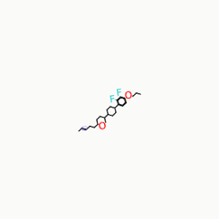 C/C=C/CCC1CCC(C2CCC(c3ccc(OCCC)c(F)c3F)CC2)CO1